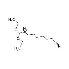 CCOC(OCC)[SiH2]CCCCCCC#N